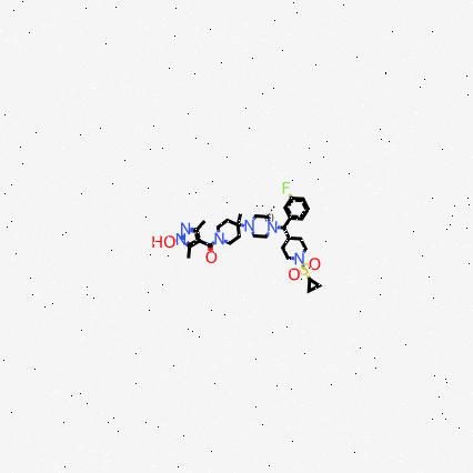 Cc1nn(O)c(C)c1C(=O)N1CCC(C)(N2CCN(C(c3cccc(F)c3)C3CCN(S(=O)(=O)C4CC4)CC3)[C@@H](C)C2)CC1